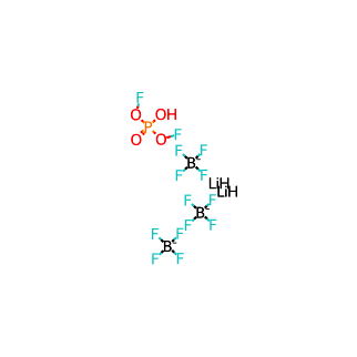 F[B-](F)(F)F.F[B-](F)(F)F.F[B-](F)(F)F.O=P(O)(OF)OF.[LiH].[LiH]